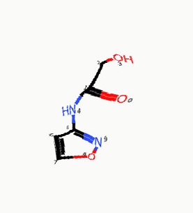 O=C(CO)Nc1ccon1